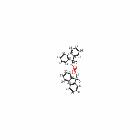 CC(COOCC(C)(c1ccccc1)c1ccccc1)(c1ccccc1)c1ccccc1